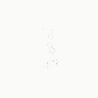 CN(C)c1ccc(-c2ccc3c(=O)n(CC[C@](C)(C(=O)NOC(=O)C(F)(F)F)S(C)(=O)=O)cnc3c2)cc1